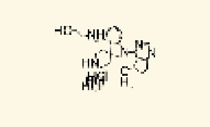 C[C@@H]1CCc2ncnc(N3CC4(CCNCC4)c4c(CNCCO)cccc43)c21.Cl.Cl.Cl